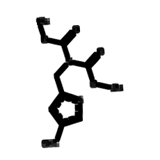 CC(C)(C)OC(=O)N(Cc1cc(C=O)cs1)C(=O)OC(C)(C)C